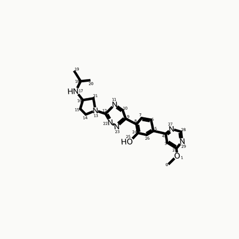 COc1cc(-c2ccc(-c3cnc(N4CCC(NC(C)C)C4)nn3)c(O)c2)ncn1